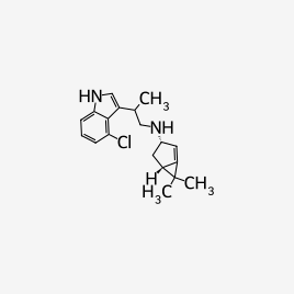 CC(CN[C@@H]1C=C2[C@@H](C1)C2(C)C)c1c[nH]c2cccc(Cl)c12